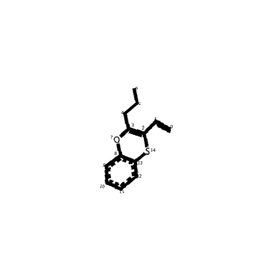 C=CC1=C(CCC)Oc2ccccc2S1